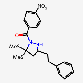 CSC1(SC)CC(CCc2ccccc2)NN1C(=O)c1ccc([N+](=O)[O-])cc1